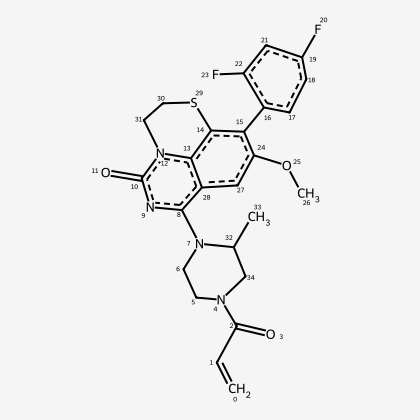 C=CC(=O)N1CCN(c2nc(=O)n3c4c(c(-c5ccc(F)cc5F)c(OC)cc24)SCC3)C(C)C1